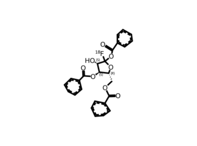 O=C(OC[C@H]1OC([18F])(OC(=O)c2ccccc2)[C@@H](O)[C@@H]1OC(=O)c1ccccc1)c1ccccc1